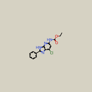 CCOC(=O)Nc1cc(Cl)c2nc(-c3ccccc3)[nH]c2n1